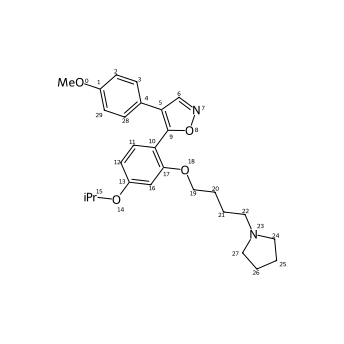 COc1ccc(-c2cnoc2-c2ccc(OC(C)C)cc2OCCCCN2CCCC2)cc1